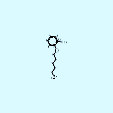 BrCCCCCOc1ccccc1I